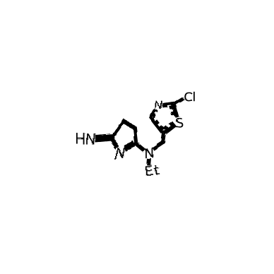 CCN(Cc1cnc(Cl)s1)C1=NC(=N)CC1